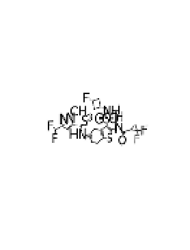 Cn1nc(C(F)F)cc1C(=S)N[C@H]1CCc2sc(NC(=O)C3CC3(F)F)c(S(=O)(=O)N[C@H]3C[C@@H](F)C3)c2C1